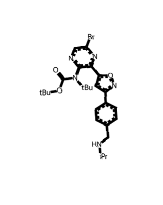 CC(C)NCc1ccc(-c2cc(-c3nc(Br)cnc3N(C(=O)OC(C)(C)C)C(C)(C)C)on2)cc1